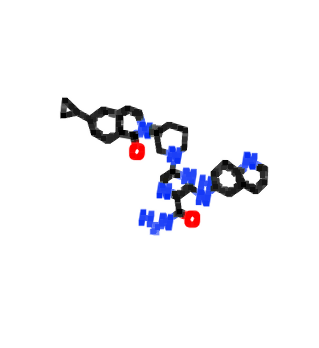 NC(=O)c1ncc(N2CCC[C@@H](n3ccc4cc(C5CC5)ccc4c3=O)C2)nc1Nc1ccc2ncccc2c1